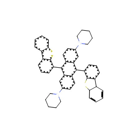 C1=CC2Sc3c(-c4c5cc(N6CCCCC6)ccc5c(-c5cccc6c5sc5ccccc56)c5cc(N6CCCCC6)ccc45)cccc3C2C=C1